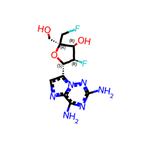 Nc1nc(N)c2ncc([C@@H]3O[C@@](CO)(CF)[C@@H](O)[C@H]3F)n2n1